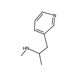 CNC(C)Cc1cccnc1